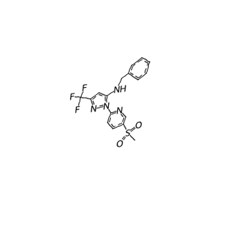 CS(=O)(=O)c1ccc(-n2nc(C(F)(F)F)cc2NCc2ccccc2)nc1